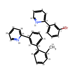 Brc1cccc(-c2ccccn2)c1.Cc1ccccc1-c1cccc(-c2ccccn2)c1